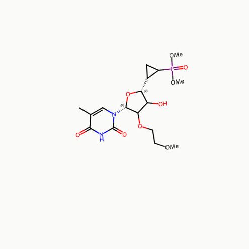 COCCOC1C(O)[C@@H](C2CC2P(=O)(OC)OC)O[C@H]1n1cc(C)c(=O)[nH]c1=O